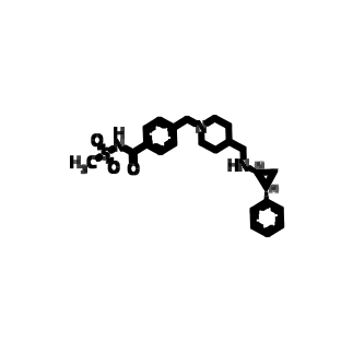 CS(=O)(=O)NC(=O)c1ccc(CN2CCC(CN[C@H]3C[C@@H]3c3ccccc3)CC2)cc1